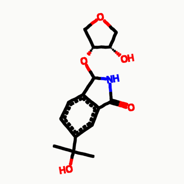 CC(C)(O)c1ccc2c(c1)C(=O)NC2O[C@@H]1COC[C@@H]1O